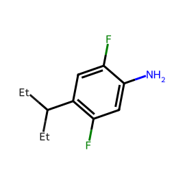 CCC(CC)c1cc(F)c(N)cc1F